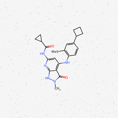 CSc1cc(C2CCC2)ccc1Nc1cc(NC(=O)C2CC2)nc2[nH]n(C)c(=O)c12